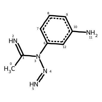 CC(=N)N(N=N)c1cccc(N)c1